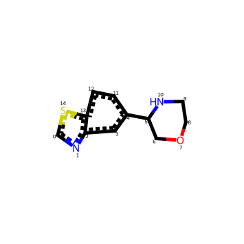 c1nc2cc(C3COCCN3)ccc2s1